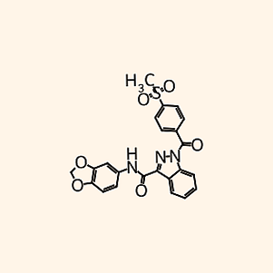 CS(=O)(=O)c1ccc(C(=O)n2nc(C(=O)Nc3ccc4c(c3)OCO4)c3ccccc32)cc1